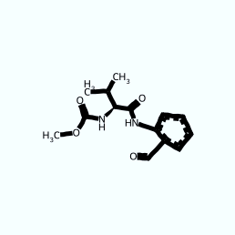 COC(=O)N[C@H](C(=O)Nc1ccccc1[C]=O)C(C)C